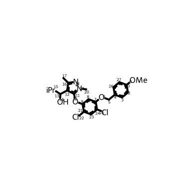 COc1ccc(COc2cc(Oc3c(C(O)C(C)C)c(C)nn3C)c(Cl)cc2Cl)cc1